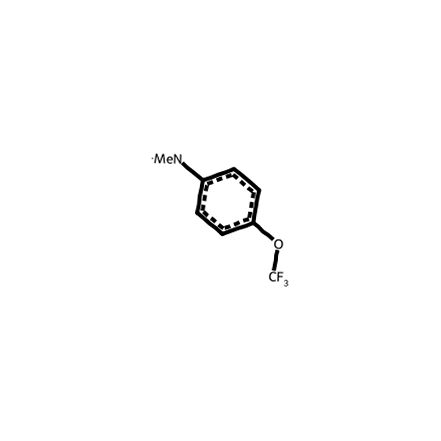 C[N]c1ccc(OC(F)(F)F)cc1